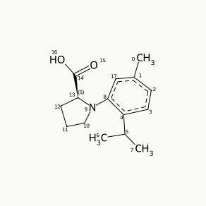 Cc1ccc(C(C)C)c(N2CCC[C@H]2C(=O)O)c1